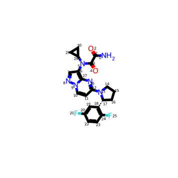 NC(=O)C(=O)N(c1cnn2ccc(N3CCC[C@@H]3c3cc(F)ccc3F)nc12)C1CC1